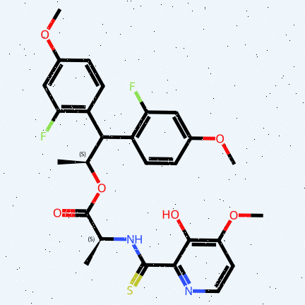 COc1ccc(C(c2ccc(OC)cc2F)[C@H](C)OC(=O)[C@H](C)NC(=S)c2nccc(OC)c2O)c(F)c1